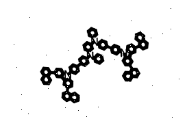 c1ccc(N(c2ccc(-c3ccc(-n4c5ccc(-c6cccc7ccccc67)cc5c5cc(-c6cccc7ccccc67)ccc54)cc3)cc2)c2cccc(N(c3ccccc3)c3ccc(-c4ccc(-n5c6ccc(-c7cccc8ccccc78)cc6c6cc(-c7cccc8ccccc78)ccc65)cc4)cc3)c2)cc1